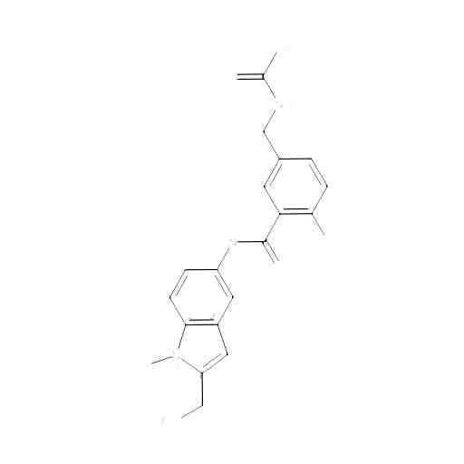 CC(C)C(=O)NCc1ccc(Cl)c(C(=O)Nc2ccc3c(c2)cc(CO)n3C)c1